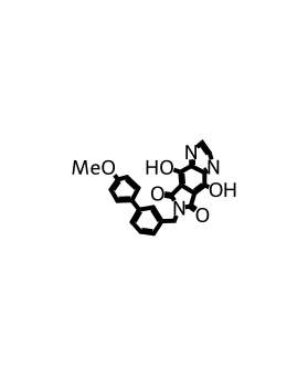 COc1ccc(-c2cccc(CN3C(=O)c4c(c(O)c5nccnc5c4O)C3=O)c2)cc1